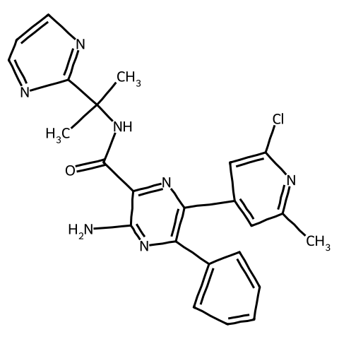 Cc1cc(-c2nc(C(=O)NC(C)(C)c3ncccn3)c(N)nc2-c2ccccc2)cc(Cl)n1